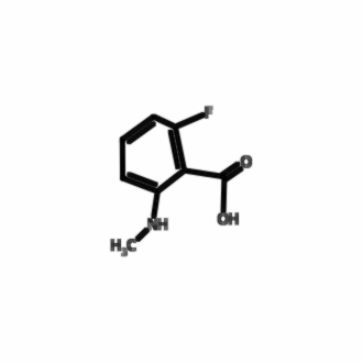 CNc1cccc(F)c1C(=O)O